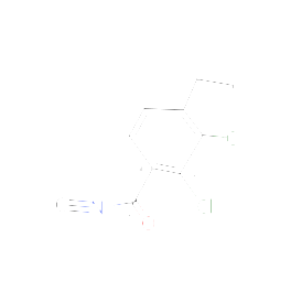 [C-]#[N+]C(=O)c1ccc(CC)c(Cl)c1Cl